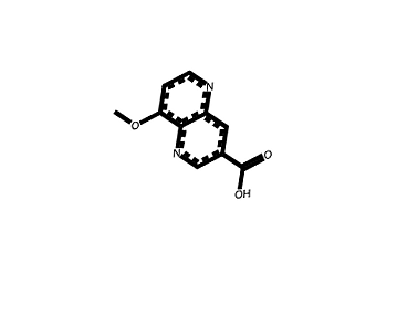 COc1ccnc2cc(C(=O)O)cnc12